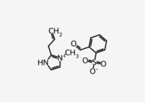 C=CCc1[nH]cc[n+]1C.O=Cc1ccccc1S(=O)(=O)[O-]